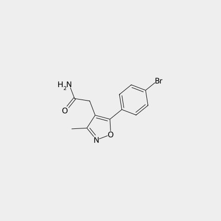 Cc1noc(-c2ccc(Br)cc2)c1CC(N)=O